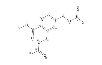 COC(=O)c1ccc(COC(C)=O)cc1COC(C)=O